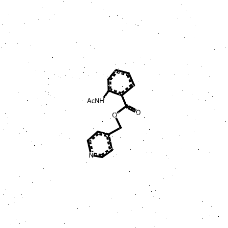 CC(=O)Nc1ccccc1C(=O)OCc1ccncc1